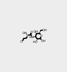 O=NN(CCCl)C(=O)N[C@H]1[C@H](O)[C@@H](CO)OC(O)[C@@H]1O